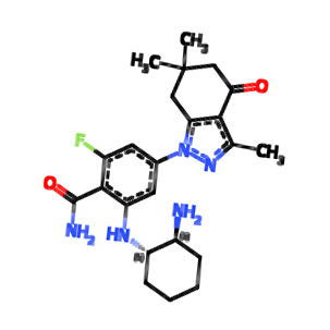 Cc1nn(-c2cc(F)c(C(N)=O)c(N[C@H]3CCCC[C@@H]3N)c2)c2c1C(=O)CC(C)(C)C2